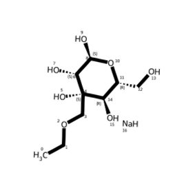 CCOC[C@@]1(O)[C@H](O)[C@@H](O)O[C@H](CO)[C@H]1O.[NaH]